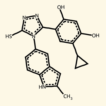 Cc1cc2cc(-n3c(S)nnc3-c3cc(C4CC4)c(O)cc3O)ccc2[nH]1